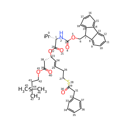 CC(C)[C@H](NC(=O)OCC1c2ccccc2-c2ccccc21)C(=O)O[C@H](/C=C/CCSC(=O)Cc1ccccc1)CC(=O)OCC[Si](C)(C)C